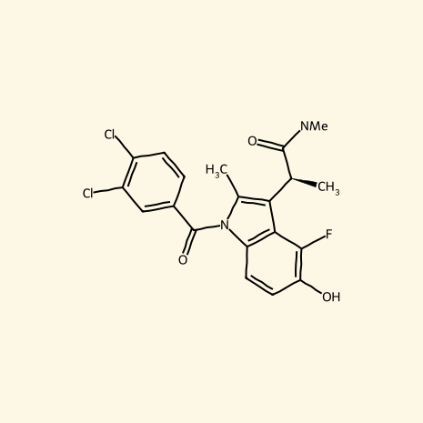 CNC(=O)[C@@H](C)c1c(C)n(C(=O)c2ccc(Cl)c(Cl)c2)c2ccc(O)c(F)c12